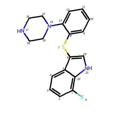 Fc1cccc2c(Sc3ccccc3N3CCNCC3)c[nH]c12